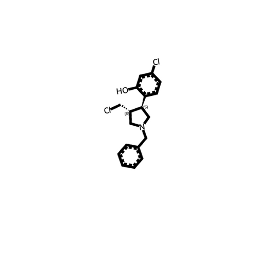 Oc1cc(Cl)ccc1[C@H]1CN(Cc2ccccc2)C[C@@H]1CCl